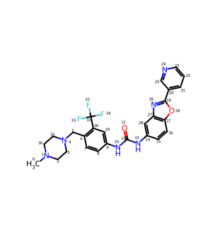 CN1CCN(Cc2ccc(NC(=O)Nc3ccc4oc(-c5cccnc5)nc4c3)cc2C(F)(F)F)CC1